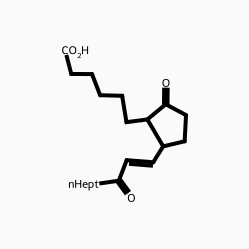 CCCCCCCC(=O)C=CC1CCC(=O)C1CCCCCC(=O)O